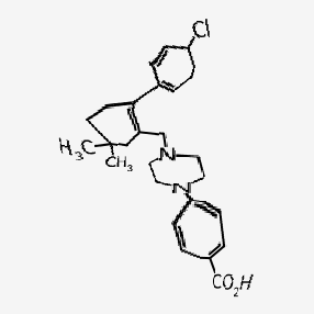 CC1(C)CCC(C2=CCC(Cl)C=C2)=C(CN2CCN(c3ccc(C(=O)O)cc3)CC2)C1